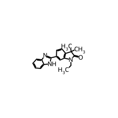 CCN1C(=O)C(C)(C)c2ccc(-c3nc4ccccc4[nH]3)cc21